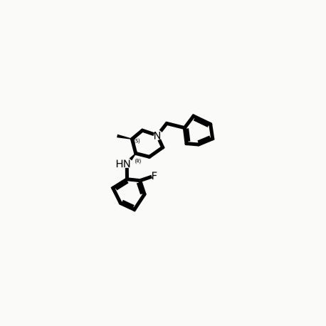 C[C@H]1CN(Cc2ccccc2)CC[C@H]1Nc1ccccc1F